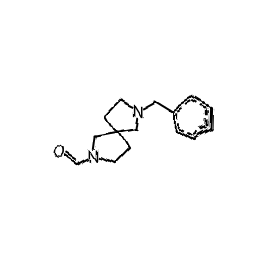 O=CN1CCC2(CCN(Cc3ccccc3)C2)C1